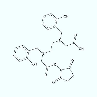 O=C(O)CN(CCN(CC(=O)ON1C(=O)CCC1=O)Cc1ccccc1O)Cc1ccccc1O